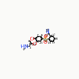 CNC[C@H]1COc2ccc(S(=O)(=O)c3ccccc3C#N)cc2O1